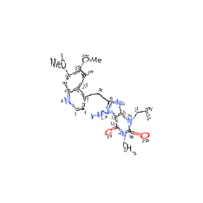 COc1cc2nccc(Cc3nc4c([nH]3)c(=O)n(C)c(=O)n4CC(C)C)c2cc1OC